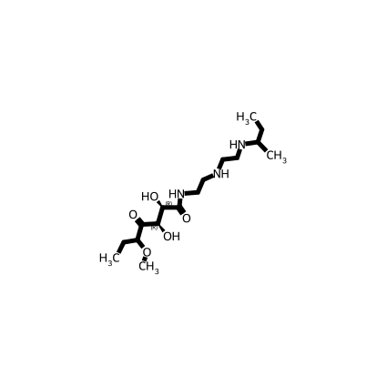 CCC(C)NCCNCCNC(=O)[C@H](O)[C@@H](O)C(=O)C(CC)OC